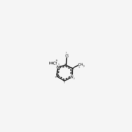 Cc1nccnc1Cl.Cl